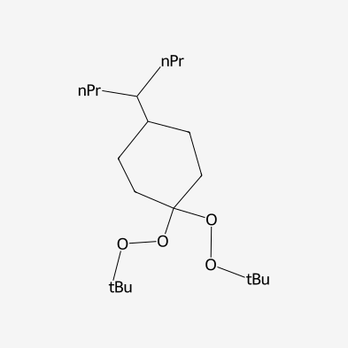 [CH2]CCC(CCC)C1CCC(OOC(C)(C)C)(OOC(C)(C)C)CC1